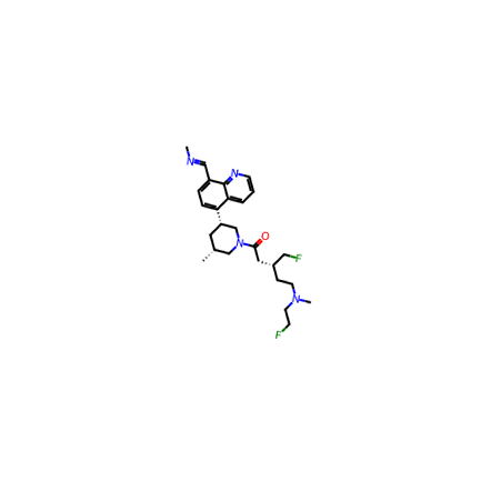 C/N=C/c1ccc([C@H]2C[C@@H](C)CN(C(=O)C[C@H](CF)CCN(C)CCF)C2)c2cccnc12